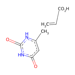 C=CC(=O)O.Cc1cc(=O)[nH]c(=O)[nH]1